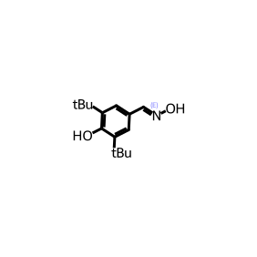 CC(C)(C)c1cc(/C=N/O)cc(C(C)(C)C)c1O